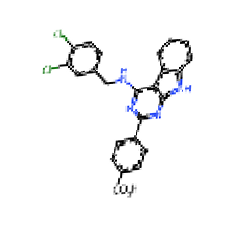 O=C(O)c1ccc(-c2nc(NCc3ccc(Cl)c(Cl)c3)c3c(n2)[nH]c2ccccc23)cc1